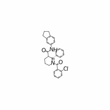 O=C(Nc1ccc2c(c1)CCC2)C1CCCN(C(=O)c2ccccc2Cl)[C@H]1c1ccccc1